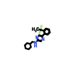 CC(F)(F)c1ccccc1-c1cnc(NCC2CCCCC2)cn1